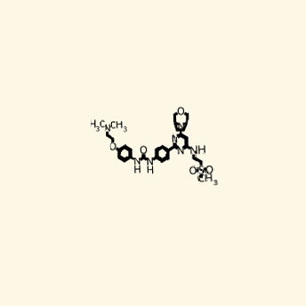 CN(C)CCOc1ccc(NC(=O)Nc2ccc(-c3nc(NCCS(C)(=O)=O)cc(N4C5CCC4COC5)n3)cc2)cc1